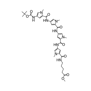 COC(=O)CCCCNC(=O)c1cc(NC(=O)c2cc(NC(=O)c3cc(NC(=O)c4cc(NC(=O)OC(C)(C)C)cn4C)cn3C)cn2C)cn1C